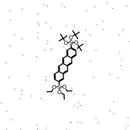 CCO[Si](OCC)(OCC)c1ccc2cc3cc4cc([Si](OC(C)(C)C)(OC(C)(C)C)OC(C)(C)C)ccc4cc3cc2c1